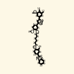 COc1ccc(-c2cc(-c3cc(C)c(C)c(OC)c3)no2)cc1OCCCCCCOc1ccc(-c2nc3ccccc3s2)cc1C